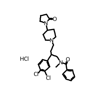 CN(CC(CCN1CCC(N2CCCC2=O)CC1)c1ccc(Cl)c(Cl)c1)C(=O)c1ccccc1.Cl